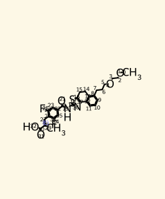 COCCOCCCc1cccc2c1CCc1sc(NC(=O)c3cc(F)c(/C=C(\C)C(=O)O)c(F)c3)nc1-2